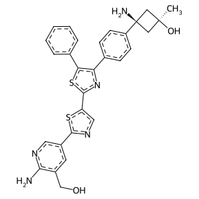 C[C@]1(O)C[C@](N)(c2ccc(-c3nc(-c4cnc(-c5cnc(N)c(CO)c5)s4)sc3-c3ccccc3)cc2)C1